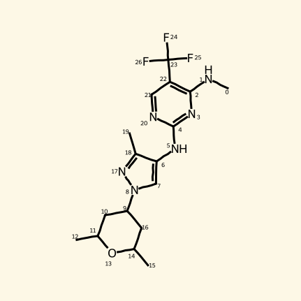 CNc1nc(Nc2cn(C3CC(C)OC(C)C3)nc2C)ncc1C(F)(F)F